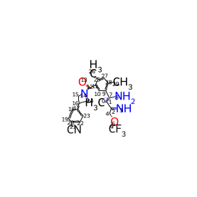 C/C(C(=N)COC(F)(F)F)=C(/N)c1cc(C(=O)N2CC(c3ccc(C#N)cc3)C2)c(C)cc1C